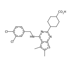 Cc1sc2nc(C3CCC(C(=O)O)CC3)nc(NCc3ccc(Cl)c(Cl)c3)c2c1C